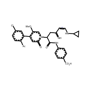 COc1cn(C(CC(=N)/C=C\NC2CC2)C(=O)Nc2ccc(C(=O)O)cc2)c(=O)cc1-c1cc(Cl)ccc1C(C)=O